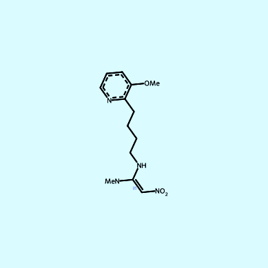 CN/C(=C/[N+](=O)[O-])NCCCCc1ncccc1OC